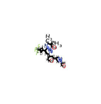 Cc1nc2c(C34CC(C(F)(F)F)(C3)C4)cc([C@@H]3CCO[C@H](c4cnn(C5COC5)c4)C3)nn2c(=O)c1C